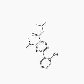 CC(C)CC(=O)c1cnc(-c2ccccc2O)nc1N(C)C